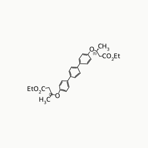 CCOC(=O)C[C@H](C)Oc1ccc(-c2ccc(-c3ccc(O[C@@H](C)CC(=O)OCC)cc3)cc2)cc1